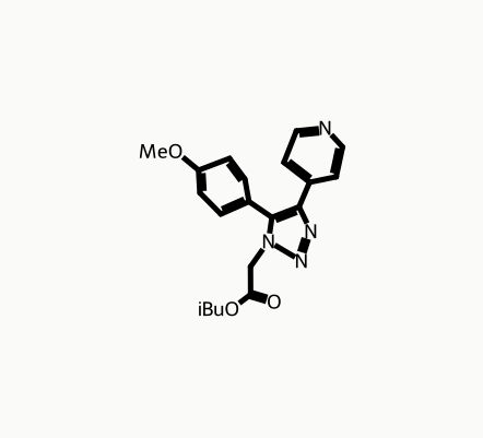 COc1ccc(-c2c(-c3ccncc3)nnn2CC(=O)OCC(C)C)cc1